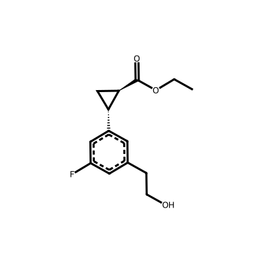 CCOC(=O)[C@@H]1C[C@H]1c1cc(F)cc(CCO)c1